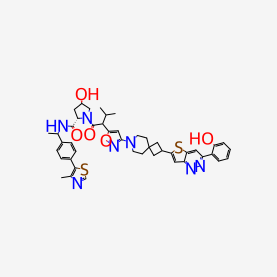 Cc1ncsc1-c1ccc(C(C)NC(=O)[C@@H]2C[C@@H](O)CN2C(=O)C(c2cc(N3CCC4(CC3)CC(c3cc5nnc(-c6ccccc6O)cc5s3)C4)no2)C(C)C)cc1